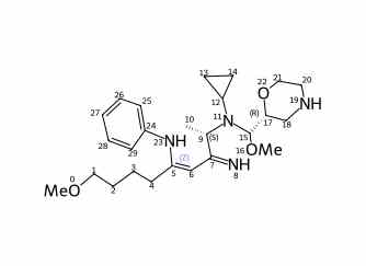 COCCCC/C(=C/C(=N)[C@H](C)N(C1CC1)C(OC)[C@H]1CNCCO1)Nc1ccccc1